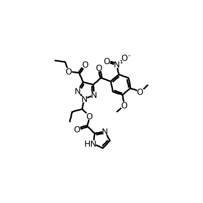 CCOC(=O)c1nn(C(CC)OC(=O)c2ncc[nH]2)nc1C(=O)c1cc(OC)c(OC)cc1[N+](=O)[O-]